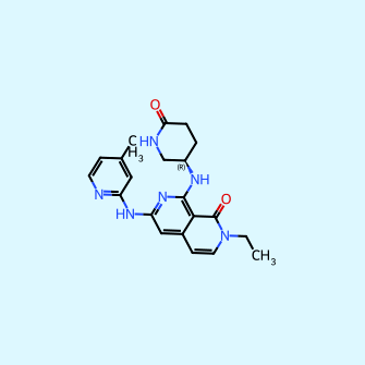 CCn1ccc2cc(Nc3cc(C)ccn3)nc(N[C@@H]3CCC(=O)NC3)c2c1=O